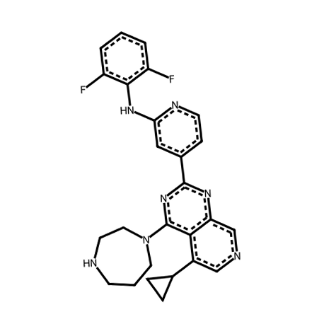 Fc1cccc(F)c1Nc1cc(-c2nc(N3CCCNCC3)c3c(C4CC4)cncc3n2)ccn1